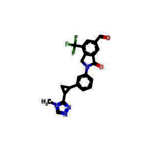 Cn1cnnc1C1CC1c1cccc(N2Cc3c(cc(C=O)cc3C(F)(F)F)C2=O)c1